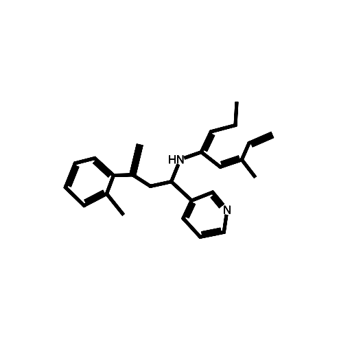 C=C/C(C)=C\C(=C/CC)NC(CC(=C)c1ccccc1C)c1cccnc1